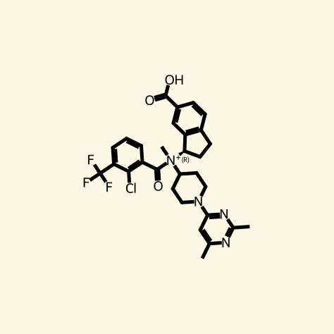 Cc1cc(N2CCC([N+](C)(C(=O)c3cccc(C(F)(F)F)c3Cl)[C@@H]3CCc4ccc(C(=O)O)cc43)CC2)nc(C)n1